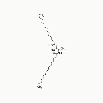 CCCCCCCCCCCCCCCC(=O)NC(C)C(O)CC(O)CCCCCCCCCCCCC